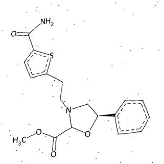 COC(=O)C1O[C@H](c2ccccc2)CN1CCc1ccc(C(N)=O)s1